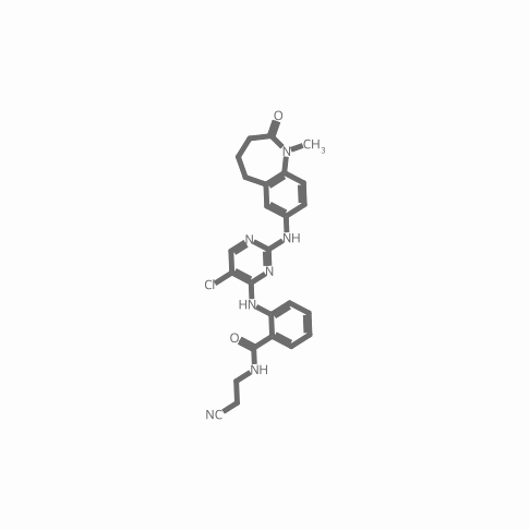 CN1C(=O)CCCc2cc(Nc3ncc(Cl)c(Nc4ccccc4C(=O)NCCC#N)n3)ccc21